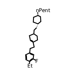 CCCCC[C@H]1CC[C@H](CCC2CC=C(CCc3ccc(CC)c(F)c3)CC2)CC1